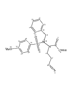 COC(=O)C(CCC=S)N(Cc1ccccc1)S(=O)(=O)c1ccc(OC)cc1